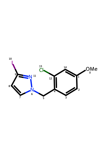 COc1ccc(Cn2ccc(I)n2)c(Cl)c1